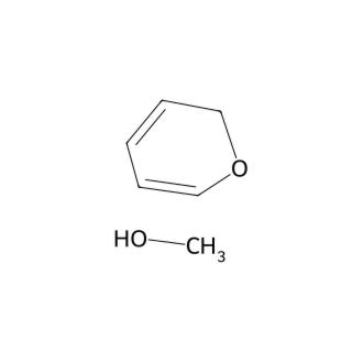 C1=CCOC=C1.CO